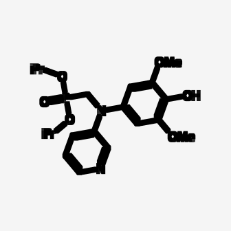 COc1cc(N(CP(=O)(OC(C)C)OC(C)C)c2cccnc2)cc(OC)c1O